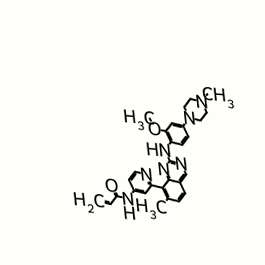 C=CC(=O)Nc1ccnc(-c2c(C)ccc3cnc(Nc4ccc(N5CCN(C)CC5)cc4OC)nc23)c1